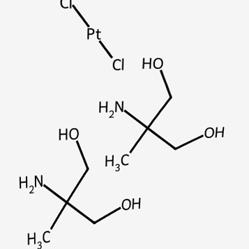 CC(N)(CO)CO.CC(N)(CO)CO.[Cl][Pt][Cl]